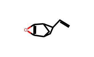 C=CC1CC2CC1C1=C2O1